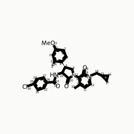 COc1ccc([C@@H]2CN(c3c(C)ccn(CC4CC4)c3=O)C(=O)C2NC(=O)c2ccc(Cl)cc2)c(F)c1